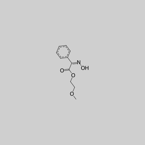 COCCOC(=O)C(=NO)c1ccccc1